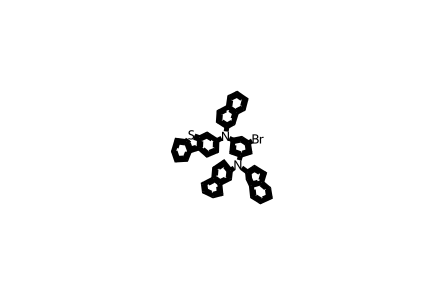 Brc1cc(N(c2ccc3ccccc3c2)c2ccc3ccccc3c2)cc(N(c2ccc3ccccc3c2)c2ccc3c(c2)sc2ccccc23)c1